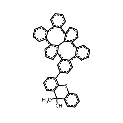 CC1(C)c2ccccc2Sc2c(-c3ccc4c(c3)c3cccc5c3-c3c(cccc3c3ccccc34)c3ccccc3c3ccccc53)cccc21